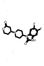 O=C1CC(N2CCC(n3c(=O)[nH]c4cc(F)c(F)cc43)CC2)CCO1